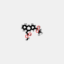 CCOC(=O)CC1=Cc2cc(C(=O)OC(C)(C)C)ccc2Cc2ccccc21